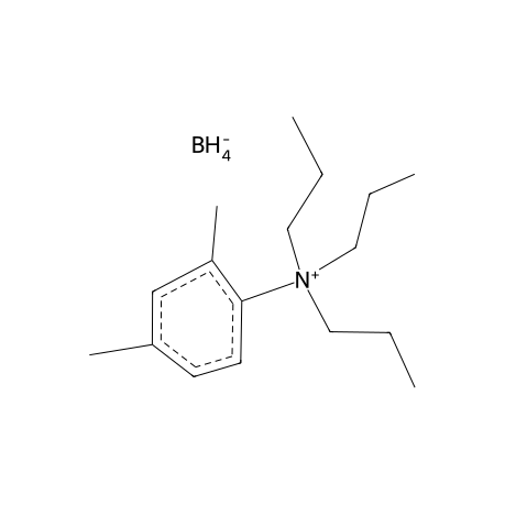 CCC[N+](CCC)(CCC)c1ccc(C)cc1C.[BH4-]